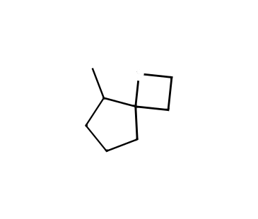 CC1CCCC12CCS2